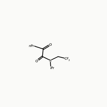 CCCC(=O)C(=O)N(CC(F)(F)F)C(C)C